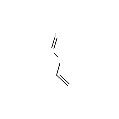 C=CO[N+]=[N-]